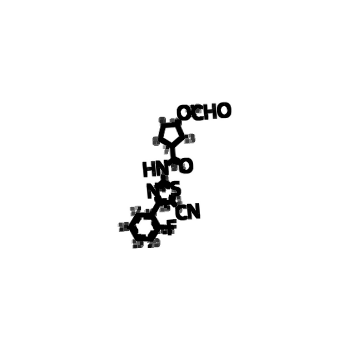 N#Cc1sc(NC(=O)C2CCC(OC=O)C2)nc1-c1ccccc1F